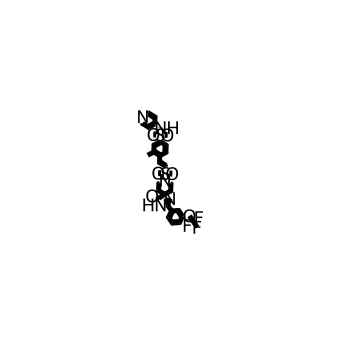 Cc1cc(S(=O)(=O)Nc2ccncc2)ccc1/C=C/S(=O)(=O)N1CCC2(CC1)N=C(c1cccc(OC(F)(F)F)c1)NC2=O